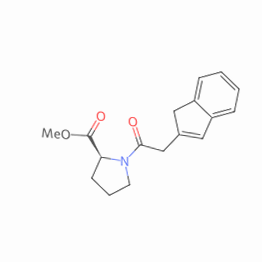 COC(=O)[C@@H]1CCCN1C(=O)CC1=Cc2ccccc2C1